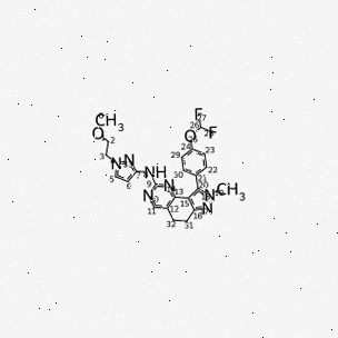 COCCn1ccc(Nc2ncc3c(n2)-c2c(nn(C)c2-c2ccc(OC(F)F)cc2)CC3)n1